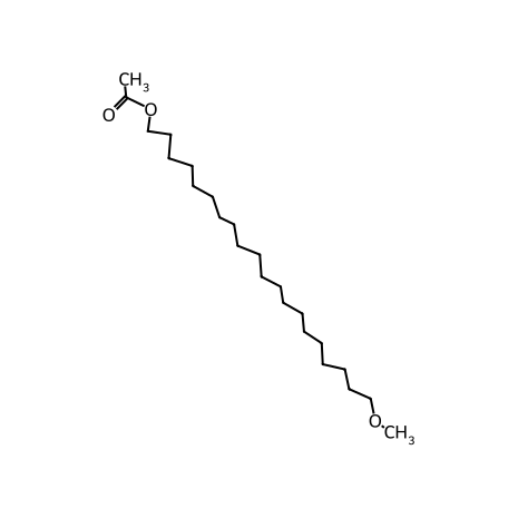 COCCCCCCCCCCCCCCCCCCCCOC(C)=O